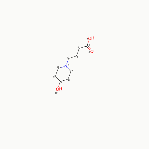 O=C(O)CCCN1CCC(O)CC1